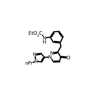 CCCn1cc(-n2ccc(=O)c(Cc3cccc(NC(=O)OCC)c3)n2)cn1